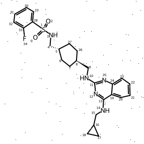 O=S(=O)(NC[C@H]1CC[C@H](CNc2nc(NCC3CC3)c3ccccc3n2)CC1)c1ccccc1F